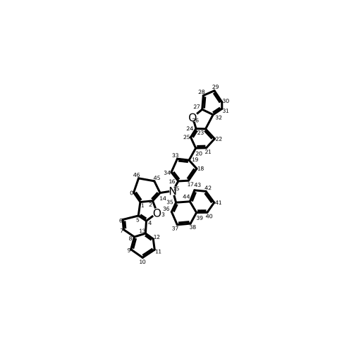 C1=c2c(oc3c2ccc2ccccc23)=C(N(c2ccc(-c3ccc4c(c3)oc3ccccc34)cc2)c2cccc3ccccc23)CC1